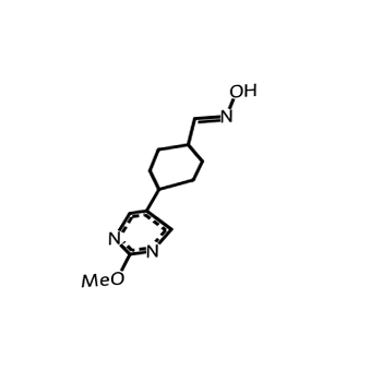 COc1ncc(C2CCC(/C=N/O)CC2)cn1